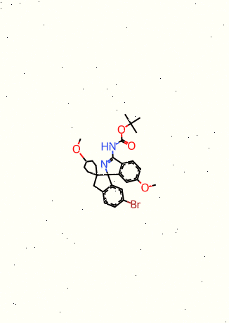 COc1ccc2c(c1)C1(N=C2NC(=O)OC(C)(C)C)c2cc(Br)ccc2CC12CCC(OC)CC2